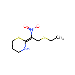 CCSCC(=C1NCCCS1)[N+](=O)[O-]